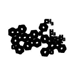 Cc1ccc(N(c2ccc3c(c2)C(C)(C)c2c4c(c5oc6ccccc6c5c2-3)-c2ccccc2C4(C)C)c2ccc3c(c2)C2(c4ccccc4-c4ccccc42)c2cc4c(cc2-3)C2(c3ccccc3-c3ccccc32)c2ccc3oc5ccccc5c3c2-4)cc1